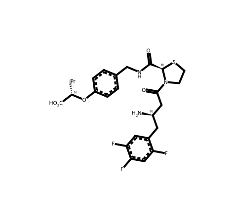 CC(C)[C@H](Oc1ccc(CNC(=O)[C@H]2SCCN2C(=O)C[C@H](N)Cc2cc(F)c(F)cc2F)cc1)C(=O)O